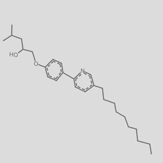 CCCCCCCCCCc1ccc(-c2ccc(OCC(O)CC(C)C)cc2)nc1